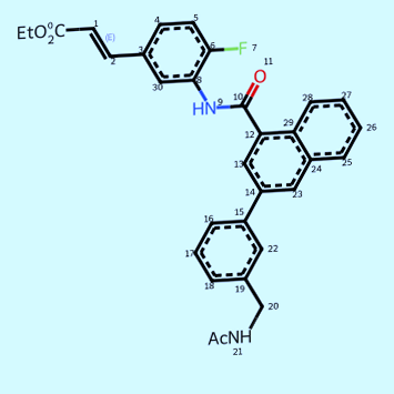 CCOC(=O)/C=C/c1ccc(F)c(NC(=O)c2cc(-c3cccc(CNC(C)=O)c3)cc3ccccc23)c1